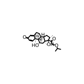 CC(C)OCC(=O)[C@@]1(O)[C@@H](C)C[C@H]2[C@@H]3CCC4=CC(=O)C=C[C@]4(C)[C@@]3(F)[C@@H](O)C[C@@]21C